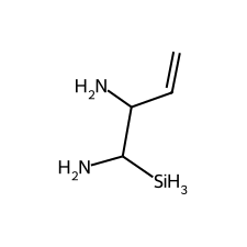 C=CC(N)C(N)[SiH3]